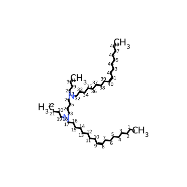 CCCCCCCC/C=C\CCCCCCCCN(CCCC)CCCCN(CCCC)CCCCCCCC/C=C\CCCCCCCC